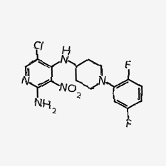 Nc1ncc(Cl)c(NC2CCN(c3cc(F)ccc3F)CC2)c1[N+](=O)[O-]